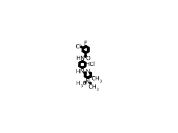 CCN(C)c1cc(N[C@H]2CC[C@@H](NC(=O)c3ccc(F)c(Cl)c3)CC2)ncc1C.Cl